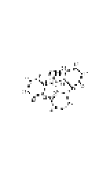 [CH]=P(c1ccccc1)(c1ccccc1)c1ccccc1